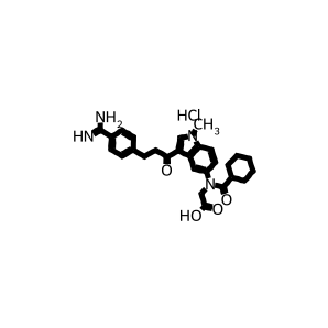 Cl.Cn1cc(C(=O)CCc2ccc(C(=N)N)cc2)c2cc(N(CC(=O)O)C(=O)C3CCCCC3)ccc21